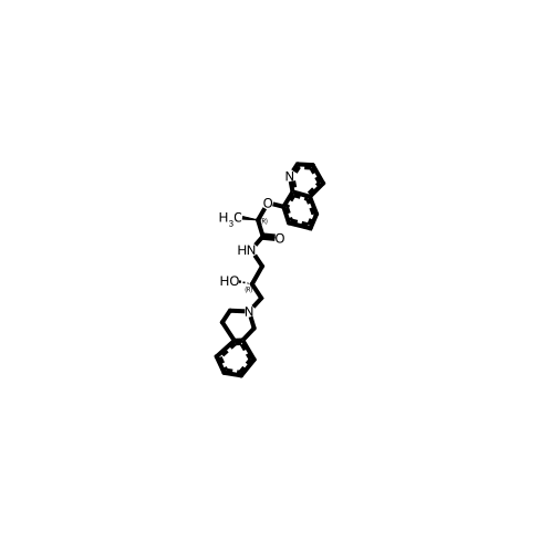 C[C@@H](Oc1cccc2cccnc12)C(=O)NC[C@@H](O)CN1CCc2ccccc2C1